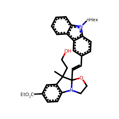 CCCCCCn1c2ccccc2c2cc(C=CC34OCCN3c3ccc(C(=O)OCC)cc3C4(C)CCO)ccc21